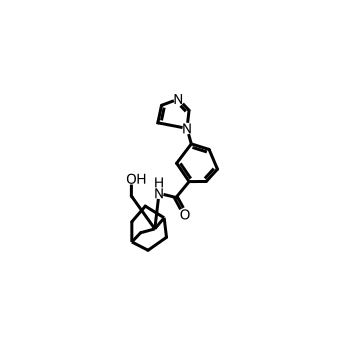 O=C(NC1(CO)CC2CCC1CC2)c1cccc(-n2ccnc2)c1